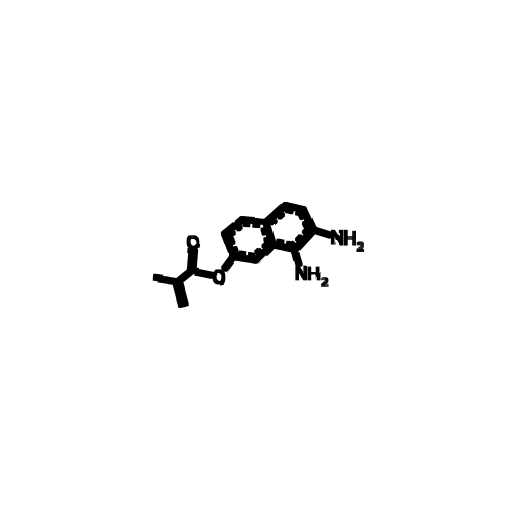 C=C(C)C(=O)Oc1ccc2ccc(N)c(N)c2c1